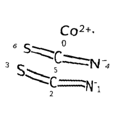 [Co+2].[N-]=C=S.[N-]=C=S